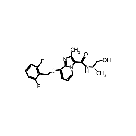 Cc1nc2c(OCc3c(F)cccc3F)cccn2c1C(=O)N[C@@H](C)CO